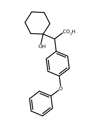 O=C(O)C(c1ccc(Oc2ccccc2)cc1)C1(O)CCCCC1